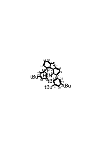 CC(C)(C)c1cc(-c2ccc3sc4cccc(-c5cc(C(C)(C)C)cc(C(C)(C)C)c5)c4c3c2N)cc(C(C)(C)C)c1